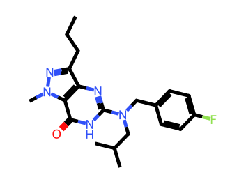 CCCc1nn(C)c2c(=O)[nH]c(N(Cc3ccc(F)cc3)CC(C)C)nc12